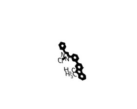 CC1(C)c2ccccc2-c2ccc(-c3cccc(-c4cc(-c5ccccc5)nc(Cl)n4)c3)cc21